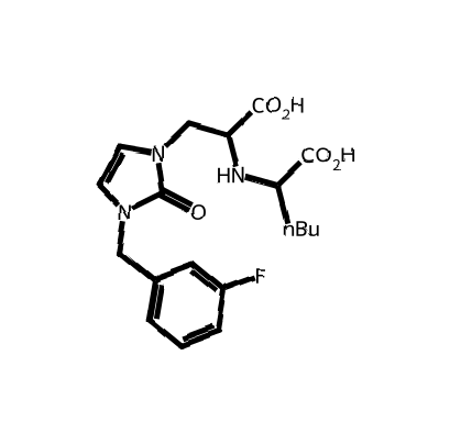 CCCCC(NC(Cn1ccn(Cc2cccc(F)c2)c1=O)C(=O)O)C(=O)O